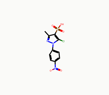 Cc1nn(-c2ccc([N+](=O)[O-])cc2)c(Cl)c1S(=O)(=O)O